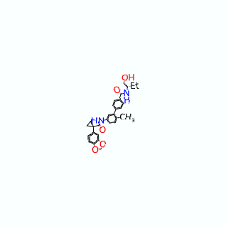 CC[C@@H](CO)NC(=O)c1ccc(-c2cc(NC(=O)C3(c4ccc5c(c4)OCO5)CC3)ccc2C)cc1